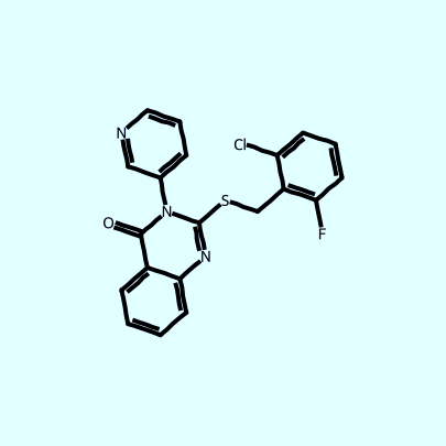 O=c1c2ccccc2nc(SCc2c(F)cccc2Cl)n1-c1cccnc1